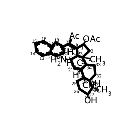 CC(=O)O[C@H]1C[C@@]2(C)[C@H](/C1=C(/C(C)=O)c1ccc3ccccc3c1)[C@H](N)C[C@H]1[C@@]3(C)CC[C@@H](O)[C@@H](C)[C@@H]3CC[C@@]12C